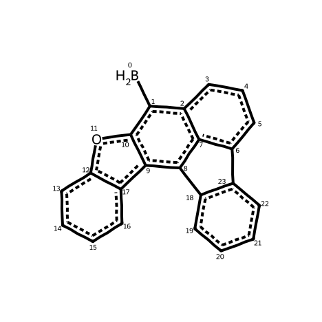 Bc1c2cccc3c2c(c2c1oc1ccccc12)-c1ccccc1-3